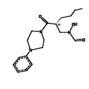 CCCC[C@H](CN(O)C=O)C(=O)N1CCN(c2ccccc2)CC1